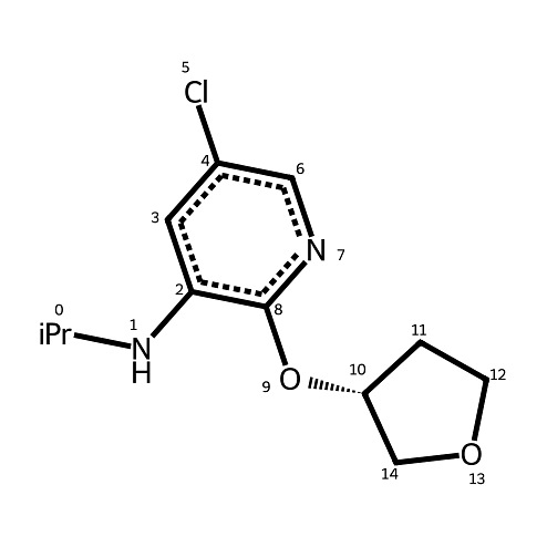 CC(C)Nc1cc(Cl)cnc1O[C@@H]1CCOC1